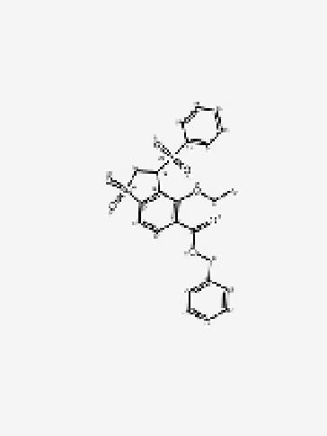 CCOc1c(C(=O)OCc2ccccc2)ccc2c1C(S(=O)(=O)c1ccccc1)CS2(=O)=O